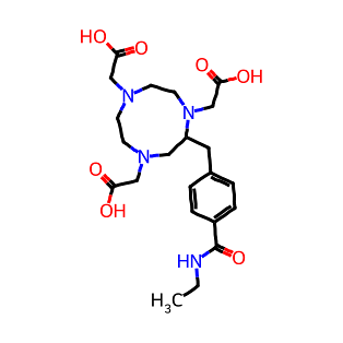 CCNC(=O)c1ccc(CC2CN(CC(=O)O)CCN(CC(=O)O)CCN2CC(=O)O)cc1